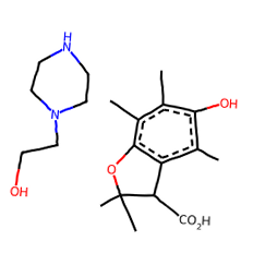 Cc1c(C)c2c(c(C)c1O)C(C(=O)O)C(C)(C)O2.OCCN1CCNCC1